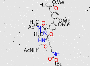 COC(=O)[C@@H](C)Cc1ccc(OC)c(-c2cc([C@@H](C(=O)N[C@@H](C)C(C)=O)N(C)C(=O)[C@H](CCCCNC(=O)OC(C)(C)C)NC(=O)CCNC(C)=O)ccc2OC)c1